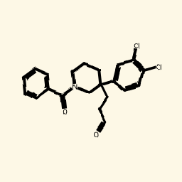 O=CCCC1(c2ccc(Cl)c(Cl)c2)CCCN(C(=O)c2ccccc2)C1